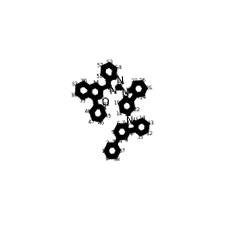 c1ccc(-c2ccc3c(c2)c2ccccc2n3-c2ccc3c(c2)c2ccccc2n3-c2nc(-c3cc4ccccc4c4c3oc3ccccc34)c3ccccc3n2)cc1